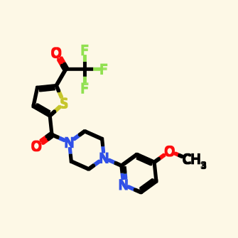 COc1ccnc(N2CCN(C(=O)c3ccc(C(=O)C(F)(F)F)s3)CC2)c1